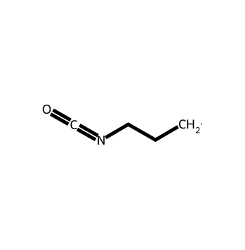 [CH2]CCN=C=O